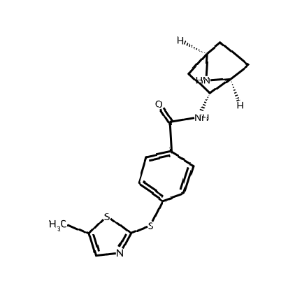 Cc1cnc(Sc2ccc(C(=O)N[C@@H]3C[C@H]4CC[C@@H]3N4)cc2)s1